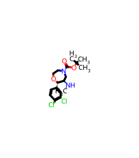 CN[C@@H]1CN(C(=O)OC(C)(C)C)CCO[C@H]1c1ccc(Cl)c(Cl)c1